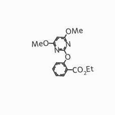 CCOC(=O)c1ccccc1Oc1nc(OC)cc(OC)n1